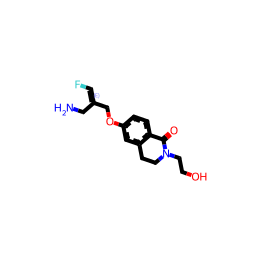 NC/C(=C\F)COc1ccc2c(c1)CCN(CCO)C2=O